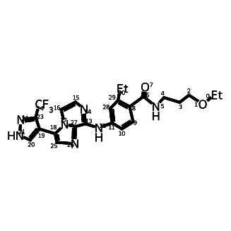 CCOCCCNC(=O)c1ccc(Nc2nccn3c(-c4c[nH]nc4C(F)(F)F)cnc23)cc1CC